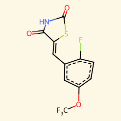 O=C1NC(=O)C(=Cc2cc(OC(F)(F)F)ccc2F)S1